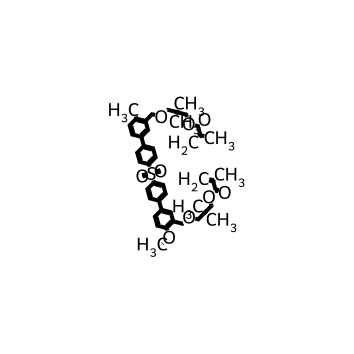 C=C(C)C(=O)OCC(C)(C)COCc1cc(-c2ccc(S(=O)(=O)c3ccc(-c4ccc(OC)c(COCC(C)(C)COC(=O)C(=C)C)c4)cc3)cc2)ccc1C